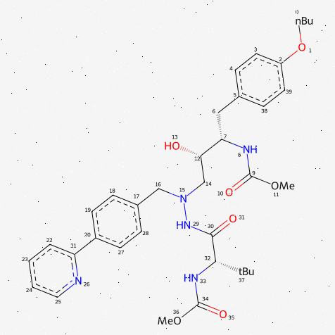 CCCCOc1ccc(C[C@H](NC(=O)OC)[C@@H](O)CN(Cc2ccc(-c3ccccn3)cc2)NC(=O)[C@@H](NC(=O)OC)C(C)(C)C)cc1